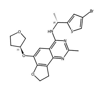 Cc1nc(N[C@H](C)c2cc(Br)cs2)c2cc(O[C@H]3CCOC3)c3c(c2n1)CCO3